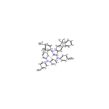 CC(C)(C)C1=CC=C2C(C1)B1c3c(cccc3N(c3ccc(C(C)(C)C)cc3)c3c1n(-c1ccc(C(C)(C)C)cc1)c1cc4c(cc31)-c1ccccc1C4(C)C)N2c1ccc(C(C)(C)C)cc1